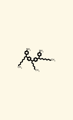 CCCCCCCCC(c1ccc(N)cc1)c1ccc(C(CCCCCC)c2ccc(C(CCCCCCCC)c3ccc(N)cc3)cc2)cc1